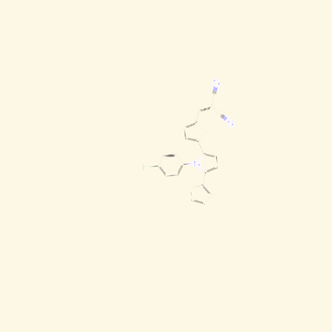 N#CC(C#N)=Cc1ccc(-c2ccc(-c3cccs3)n2-c2ccc(F)cc2)s1